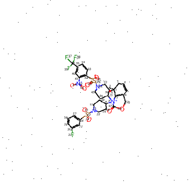 CC1(C)CC=CC2=C1[N+](C1CCN(S(=O)(=O)c3cccc(F)c3)CC1)(C1CCN(S(=O)(=O)c3ccc(C(F)(F)F)cc3[N+](=O)[O-])CC1)C(=O)OC2